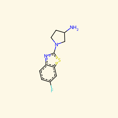 NC1CCN(c2nc3ccc(F)cc3s2)C1